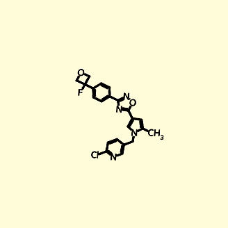 Cc1cc(-c2nc(-c3ccc(C4(F)COC4)cc3)no2)cn1Cc1ccc(Cl)nc1